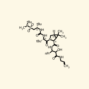 C=CCNC(=O)C(O)C(CCC)NC(=O)[C@@H]1C2[C@H](CN1C(=O)[C@@H](NC(=O)N[C@H](CS(=O)(=O)N(C)C(C)(C)C)C(C)(C)C)C(C)(C)C)C2(C)C